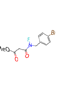 COC(=O)CC(=O)N(F)Cc1ccc(Br)cc1